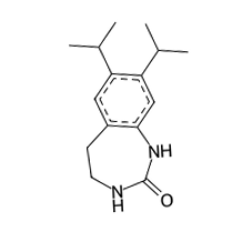 CC(C)c1cc2c(cc1C(C)C)NC(=O)NCC2